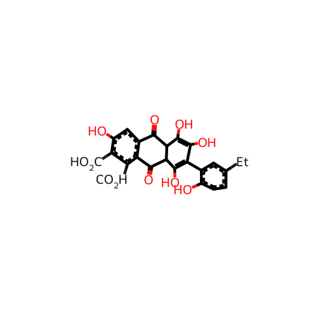 CCc1ccc(O)c(C2=C(O)C3C(=O)c4c(cc(O)c(C(=O)O)c4C(=O)O)C(=O)C3C(O)=C2O)c1